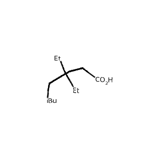 CCC(C)CC(CC)(CC)CC(=O)O